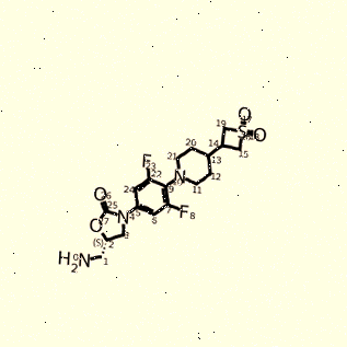 NC[C@H]1CN(c2cc(F)c(N3CCC(C4CS(=O)(=O)C4)CC3)c(F)c2)C(=O)O1